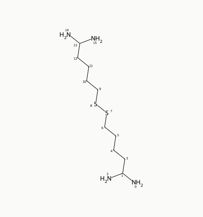 NC(N)CCCCSSCCCCC(N)N